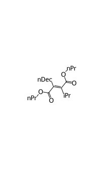 CCCCCCCCCCC(C(=O)OCCC)=C(C(=O)OCCC)C(C)C